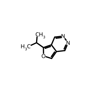 CC(C)c1occ2cnncc12